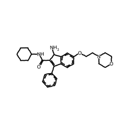 NC1C(C(=O)NC2CCCCC2)=C(c2ccccc2)c2ccc(OCCN3CCOCC3)cc21